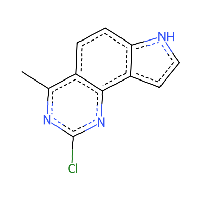 Cc1nc(Cl)nc2c1ccc1[nH]ccc12